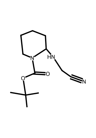 CC(C)(C)OC(=O)N1CCCCC1NCC#N